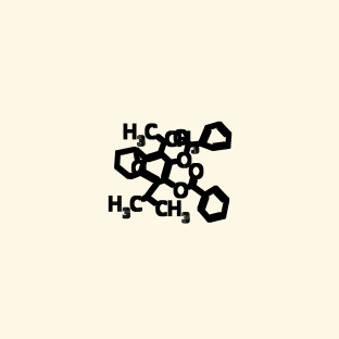 CC(C)c1c(OC(=O)c2ccccc2)c(OC(=O)c2ccccc2)c(C(C)C)c2c1C1CCC2O1